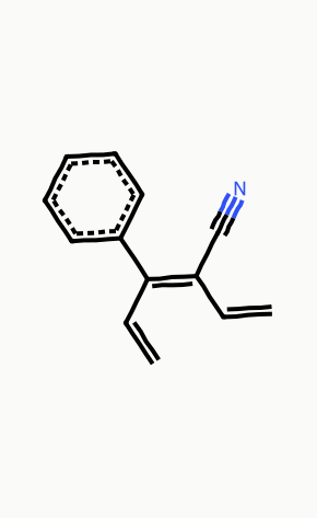 C=CC(C#N)=C(C=C)c1ccccc1